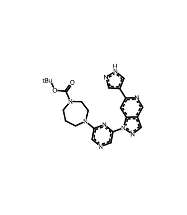 CC(C)(C)OC(=O)N1CCCN(c2cncc(-n3ncc4cnc(-c5cn[nH]c5)cc43)n2)CC1